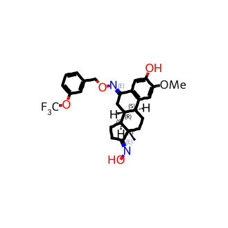 COc1cc2c(cc1O)/C(=N/OCc1cccc(OC(F)(F)F)c1)C[C@@H]1[C@@H]2CC[C@]2(C)/C(=N/O)CC[C@@H]12